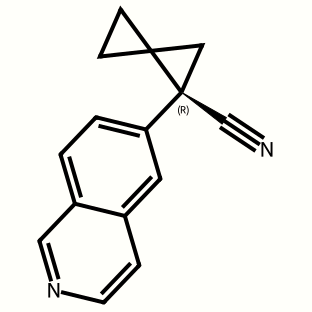 N#C[C@]1(c2ccc3cnccc3c2)CC12CC2